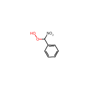 O=[N+]([O-])[C](OO)c1ccccc1